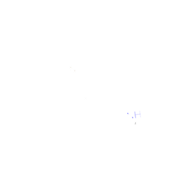 [CH2]SCCN